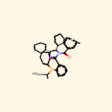 CCCCCC(C)P(c1ccccc1C1=N[C@H](C2CCCCC2)[C@@H](C2CCCCC2)N1C(=O)c1cccc(C)c1)C1CCCCC1